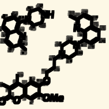 COc1cc2oc(=O)c(C)c(C)c2cc1OCCCN1CCN(c2cccc3ccc(C)nc23)CC1.Cc1ccc2cccc(N3CCNCC3)c2n1